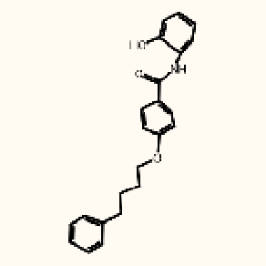 O=C(Nc1ccccc1O)c1ccc(OCCCCc2ccccc2)cc1